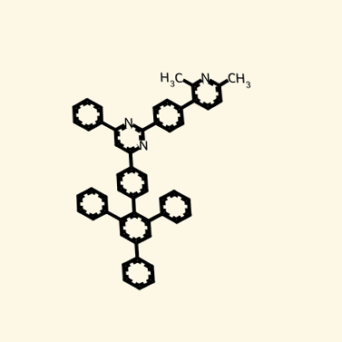 Cc1ccc(-c2ccc(-c3nc(-c4ccccc4)cc(-c4ccc(-c5c(-c6ccccc6)cc(-c6ccccc6)cc5-c5ccccc5)cc4)n3)cc2)c(C)n1